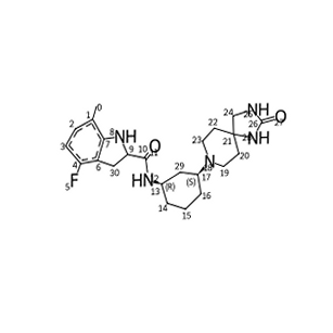 Cc1ccc(F)c2c1NC(C(=O)N[C@@H]1CCC[C@H](N3CCC4(CC3)CNC(=O)N4)C1)C2